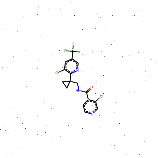 O=C(NCC1(c2ncc(C(F)(F)F)cc2Cl)CC1)c1ccncc1Cl